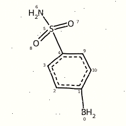 Bc1ccc(S(N)(=O)=O)cc1